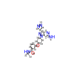 CNc1cc2c(cn1)c(-c1cnn(C)c1)nn2[C@H]1CC[C@@H](Oc2cccc(C(=O)NC(C)C)c2)CC1